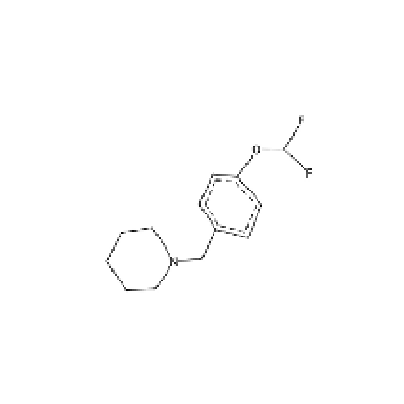 FC(F)Oc1ccc(CN2CCCCC2)cc1